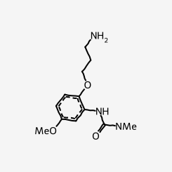 CNC(=O)Nc1cc(OC)ccc1OCCCN